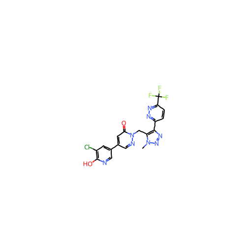 Cn1nnc(-c2ccc(C(F)(F)F)nn2)c1Cn1ncc(-c2cnc(O)c(Cl)c2)cc1=O